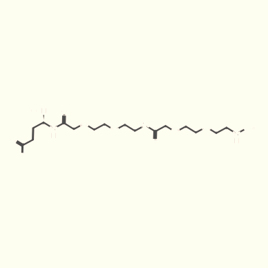 CC(C)C(=O)CC[C@H](NC(=O)COCCOCCNC(=O)COCCOCCNC(C)(C)C)C(=O)O